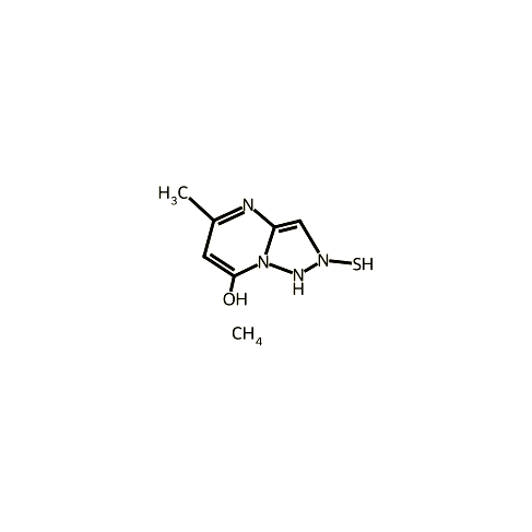 C.CC1=NC2=CN(S)NN2C(O)=C1